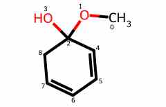 COC1(O)C=CC=CC1